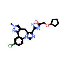 Cn1cc2c(n1)-c1cc(Cl)ccc1-n1cnc(-c3noc(COC4CCCC4)n3)c1C2